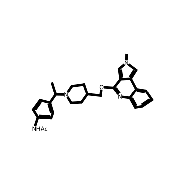 CC(=O)Nc1ccc(C(C)N2CCC(COc3nc4ccccc4c4cn(C)cc34)CC2)cc1